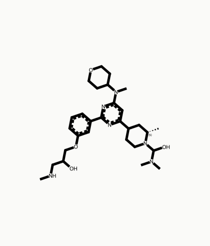 CNCC(O)COc1cccc(-c2nc(C3CCN(C(O)N(C)C)[C@@H](C)C3)cc(N(C)C3CCOCC3)n2)c1